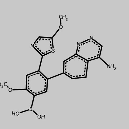 COc1cnc(-c2cc(OC)c(B(O)O)cc2-c2ccc3c(N)cnnc3c2)s1